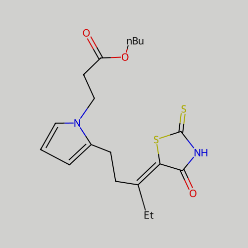 CCCCOC(=O)CCn1cccc1CCC(CC)=C1SC(=S)NC1=O